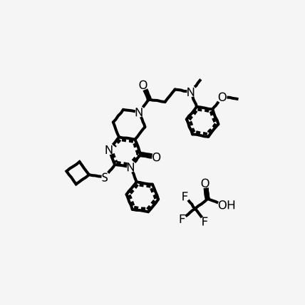 COc1ccccc1N(C)CCC(=O)N1CCc2nc(SC3CCC3)n(-c3ccccc3)c(=O)c2C1.O=C(O)C(F)(F)F